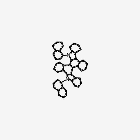 c1ccc2c(-n3c4ccccc4c4c5c6ccccc6c6c7ccccc7n(-c7cccc8ccccc78)c6c5c5ccccc5c43)cccc2c1